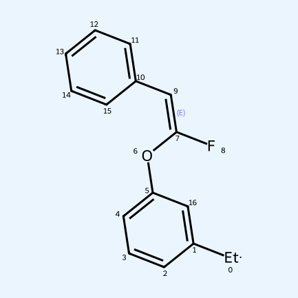 C[CH]c1cccc(O/C(F)=C\c2ccccc2)c1